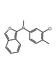 Cc1ccc(N(C)c2occ3ccccc23)cc1Cl